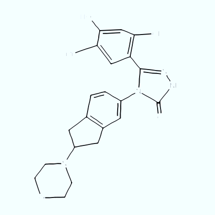 CC(C)c1cc(-c2n[nH]c(=O)n2-c2ccc3c(c2)CC(N2CCOCC2)C3)c(O)cc1O